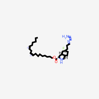 CCCCC/C=C\C/C=C\CCCCCCCCOC(=O)[C@@H]1C[C@H]2C[C@@](F)(CC/C=N/N=N\N)CC[C@H]2CN1